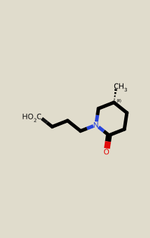 C[C@@H]1CCC(=O)N(CCCC(=O)O)C1